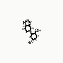 Oc1ccc(Br)cc1-c1ccc2nonc2c1